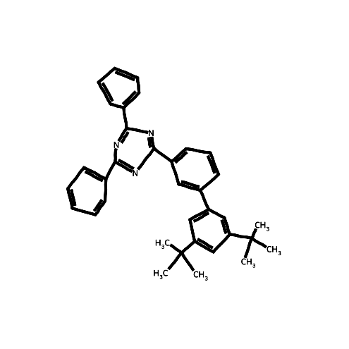 CC(C)(C)c1cc(-c2cccc(-c3nc(-c4ccccc4)nc(-c4ccccc4)n3)c2)cc(C(C)(C)C)c1